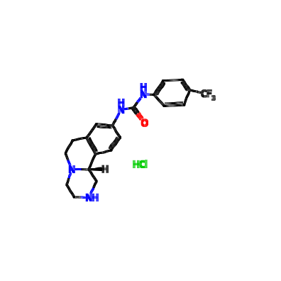 Cl.O=C(Nc1ccc(C(F)(F)F)cc1)Nc1ccc2c(c1)CCN1CCNC[C@@H]21